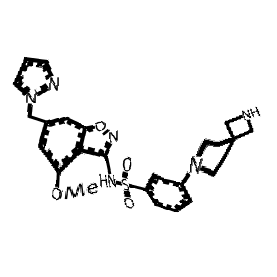 COc1cc(Cn2cccn2)cc2onc(NS(=O)(=O)c3cccc(N4CC5(CNC5)C4)c3)c12